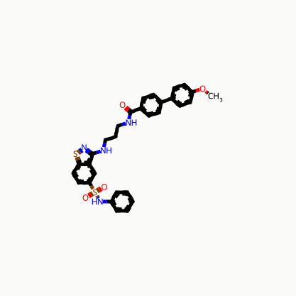 COc1ccc(-c2ccc(C(=O)NCCCNc3nsc4ccc(S(=O)(=O)Nc5ccccc5)cc34)cc2)cc1